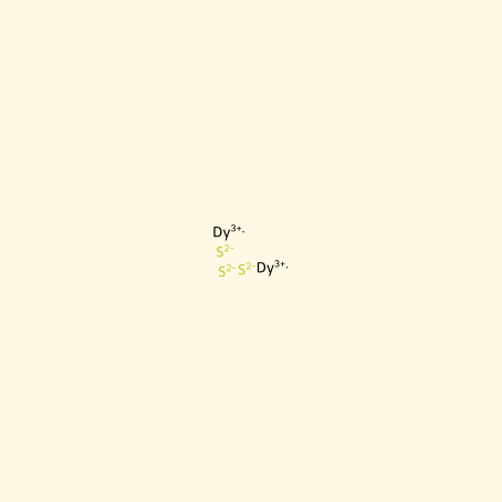 [Dy+3].[Dy+3].[S-2].[S-2].[S-2]